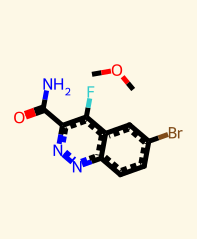 COC.NC(=O)c1nnc2ccc(Br)cc2c1F